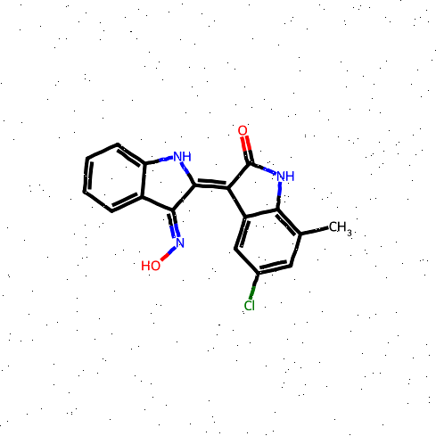 Cc1cc(Cl)cc2c1NC(=O)C2=C1Nc2ccccc2C1=NO